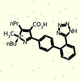 CCCC[N+]1(C)N=C(c2ccc(-c3ccccc3-c3nnn[nH]3)cc2)C(C(=O)O)=C1CCC